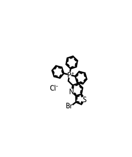 Brc1csc2ccc(C[P+](c3ccccc3)(c3ccccc3)c3ccccc3)nc12.[Cl-]